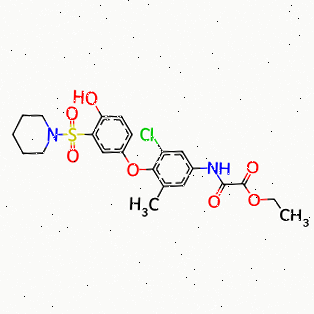 CCOC(=O)C(=O)Nc1cc(C)c(Oc2ccc(O)c(S(=O)(=O)N3CCCCC3)c2)c(Cl)c1